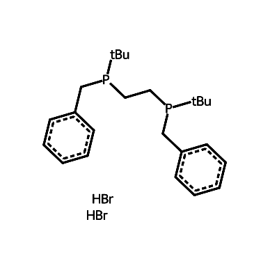 Br.Br.CC(C)(C)P(CCP(Cc1ccccc1)C(C)(C)C)Cc1ccccc1